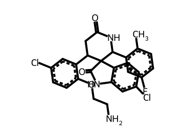 Cc1ccc(F)cc1C1NC(=O)CC(c2cc(Cl)ccc2OCCN)C12C(=O)Nc1cc(Cl)ccc12